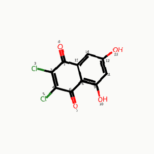 O=C1C(Cl)=C(Cl)C(=O)c2c(O)cc(O)cc21